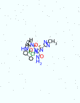 Cc1ncc(C2=NC3C(C(N)=O)=NN(CC(=O)N4C[C@@H]5CC[C@@H]5[C@H]4C(=O)Nc4cccc(-c5ccccc5Cl)c4F)C3S2)cn1